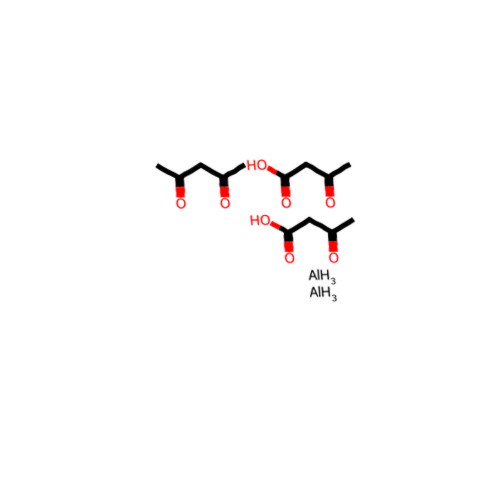 CC(=O)CC(=O)O.CC(=O)CC(=O)O.CC(=O)CC(C)=O.[AlH3].[AlH3]